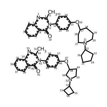 Cc1nc2ccccc2c(=O)n1-c1ccc(OC2CCCN(C3CCCC3)CC2)cc1.Cc1nc2ccccc2c(=O)n1-c1ccc(OC2CCN(C3CCC3)C2)cc1